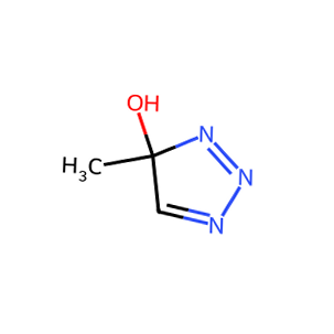 CC1(O)C=NN=N1